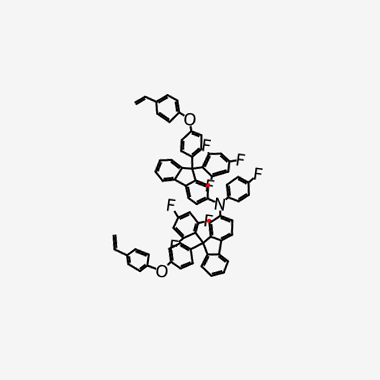 C=Cc1ccc(Oc2ccc(C3(c4c(F)cc(F)cc4F)c4ccccc4-c4ccc(N(c5ccc(F)cc5)c5ccc6c(c5)C(c5ccc(Oc7ccc(C=C)cc7)cc5)(c5c(F)cc(F)cc5F)c5ccccc5-6)cc43)cc2)cc1